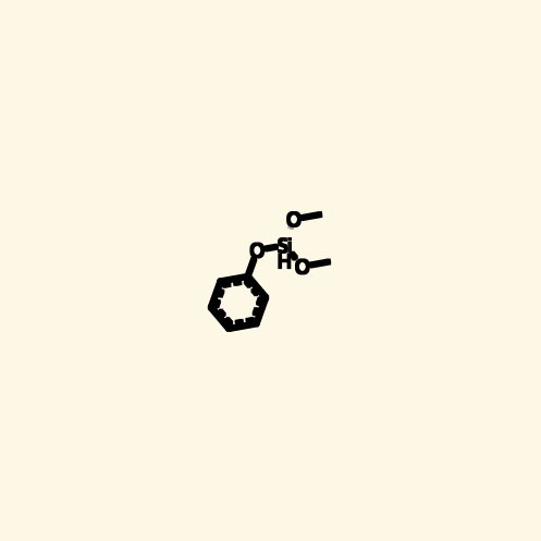 CO[SiH](OC)Oc1ccccc1